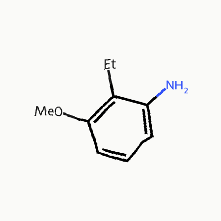 CCc1c(N)cccc1OC